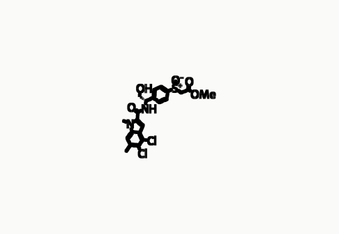 COC(=O)C[S+]([O-])c1ccc([C@@H](CO)NC(=O)c2cc3c(Cl)c(Cl)c(C)cc3n2C)cc1